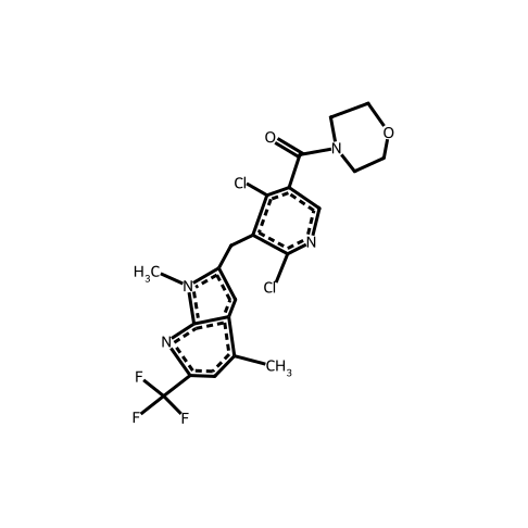 Cc1cc(C(F)(F)F)nc2c1cc(Cc1c(Cl)ncc(C(=O)N3CCOCC3)c1Cl)n2C